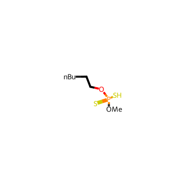 CCCCCCOP(=S)(S)OC